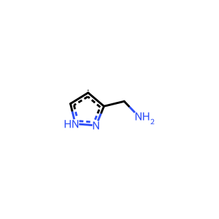 NCc1[c]c[nH]n1